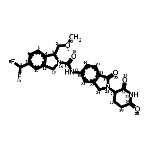 COCC1c2ccc(C(F)F)cc2CN1C(=O)Nc1ccc2c(c1)CN(C1CCC(=O)NC1=O)C2=O